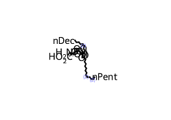 CCCCC/C=C\C/C=C\CCCCCCCC(=O)O[C@H](CO/C=C\CCCCCCCCCCCCCC)COP(=O)(O)OC[C@H](N)C(=O)O